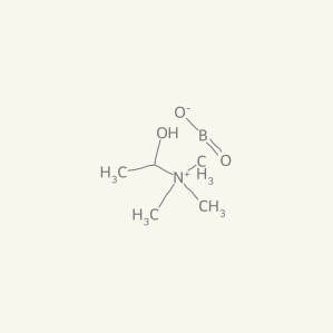 CC(O)[N+](C)(C)C.O=B[O-]